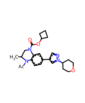 CC(=O)N1c2ccc(-c3cnn(C4CCOCC4)c3)cc2N(C(=O)OC2CCC2)CC1C